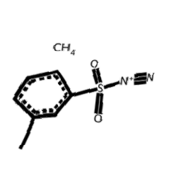 C.Cc1cccc(S(=O)(=O)[N+]#N)c1